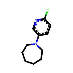 Clc1ccc(N2CCCCCC2)cn1